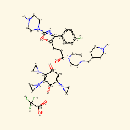 CN1CCC(CN2CCN(C(=O)CCc3oc(N4CCN(C)CC4)nc3-c3ccc(Cl)cc3)CC2)CC1.O=C(O)C(F)(F)F.O=C1C=C(N2CC2)C(=O)C(N2CC2)=C1N1CC1